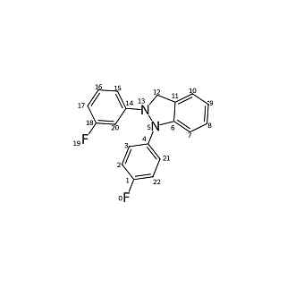 Fc1ccc(N2c3cc[c]cc3CN2c2cccc(F)c2)cc1